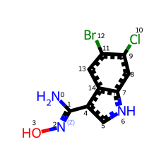 N/C(=N\O)c1c[nH]c2cc(Cl)c(Br)cc12